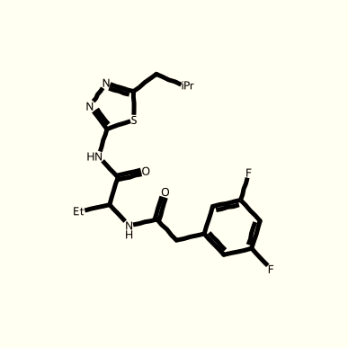 CCC(NC(=O)Cc1cc(F)cc(F)c1)C(=O)Nc1nnc(CC(C)C)s1